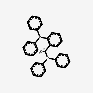 C[C@@H](c1ccccc1P(c1ccccc1)c1ccccc1)P(c1ccccc1)c1ccccc1